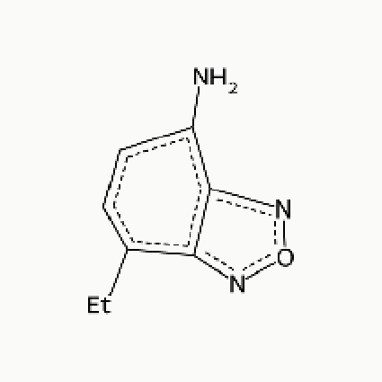 CCc1ccc(N)c2nonc12